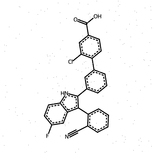 N#Cc1ccccc1-c1c(-c2cccc(-c3ccc(C(=O)O)cc3Cl)c2)[nH]c2ccc(F)cc12